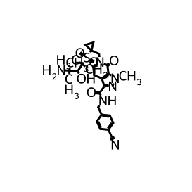 Cn1nc(C(=O)NCc2ccc(C#N)cc2)c2c1C(=O)N(CC1(S(=O)(=O)C(C)(C)C(O)C(C)(C)N)CC1)CC2